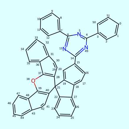 c1ccc(-c2nc(-c3ccccc3)nc(-c3ccc4c(c3)C3(c5ccccc5-4)c4ccc5ccccc5c4Oc4c3ccc3ccccc43)n2)cc1